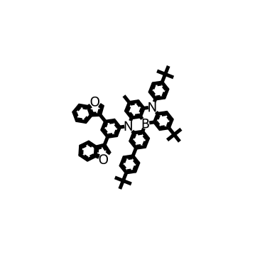 Cc1cc2c3c(c1)N(c1cc(-c4coc5ccccc45)cc(-c4coc5ccccc45)c1)c1cc(-c4ccc(C(C)(C)C)cc4)ccc1B3c1cc(C(C)(C)C)ccc1N2c1ccc(C(C)(C)C)cc1